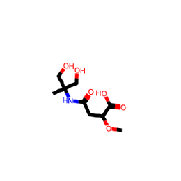 COC(CC(=O)NC(C)(CO)CO)C(=O)O